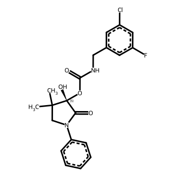 CC1(C)CN(c2ccccc2)C(=O)[C@@]1(O)OC(=O)NCc1cc(F)cc(Cl)c1